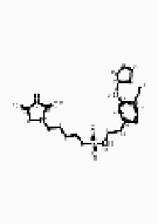 O=C1CN(CCCCCS(=O)(=O)NCCc2ccc(F)c(OC3CCCC3)c2)C(=O)N1